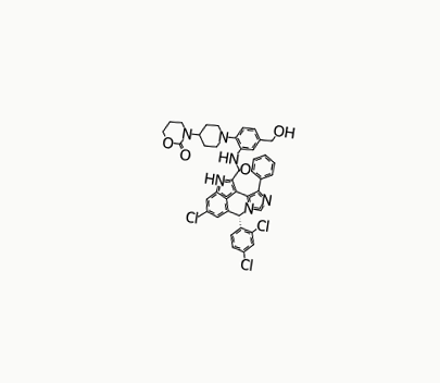 O=C(Nc1cc(CO)ccc1N1CCC(N2CCCOC2=O)CC1)c1[nH]c2cc(Cl)cc3c2c1-c1c(-c2ccccc2)ncn1[C@@H]3c1ccc(Cl)cc1Cl